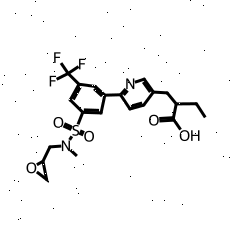 CCC(Cc1ccc(-c2cc(C(F)(F)F)cc(S(=O)(=O)N(C)CC3CO3)c2)nc1)C(=O)O